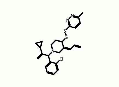 C=C/C=C1/CN(C(C(=C)C2CC2)c2ccccc2Cl)CCC1SSc1ccc(C)nn1